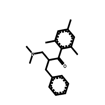 Cc1cc(C)c(C(=O)C(Cc2ccccc2)CN(C)C)c(C)c1